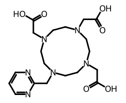 O=C(O)CN1CCN(CC(=O)O)CCN(Cc2ncccn2)CCN(CC(=O)O)CC1